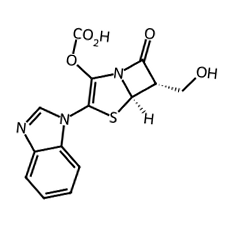 O=C(O)OC1=C(n2cnc3ccccc32)S[C@@H]2[C@@H](CO)C(=O)N12